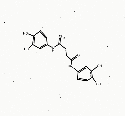 C=C(CCC(=O)Nc1ccc(O)c(O)c1)Nc1ccc(O)c(O)c1